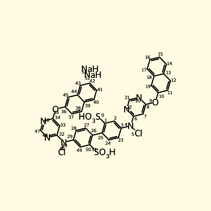 O=S(=O)(O)c1cc(N(Cl)c2cc(Oc3ccc4ccccc4c3)ncn2)ccc1-c1ccc(N(Cl)c2cc(Oc3ccc4ccccc4c3)ncn2)cc1S(=O)(=O)O.[NaH].[NaH]